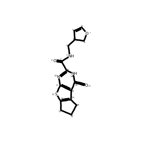 O=C(NCC1C=COC1)c1nc2sc3c(c2c(=O)[nH]1)CCC3